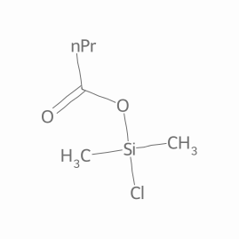 CCCC(=O)O[Si](C)(C)Cl